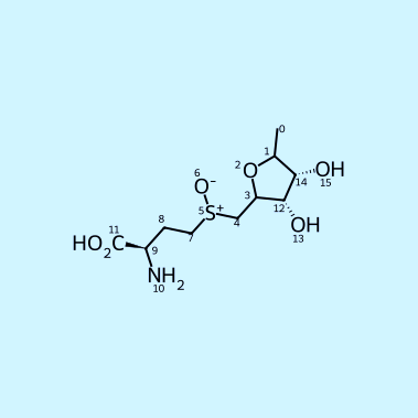 CC1OC(C[S+]([O-])CC[C@@H](N)C(=O)O)[C@@H](O)[C@H]1O